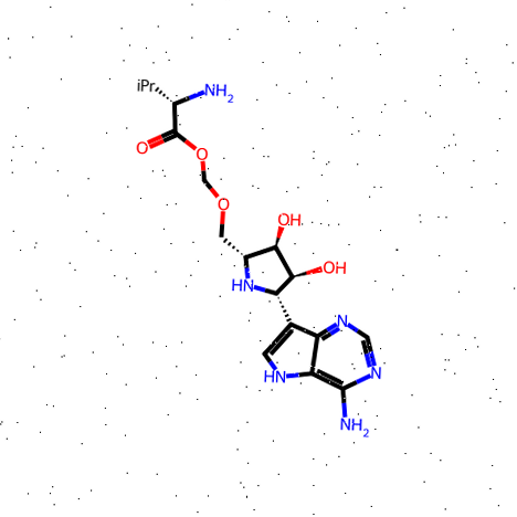 CC(C)[C@H](N)C(=O)OCOC[C@H]1N[C@@H](c2c[nH]c3c(N)ncnc23)[C@H](O)[C@@H]1O